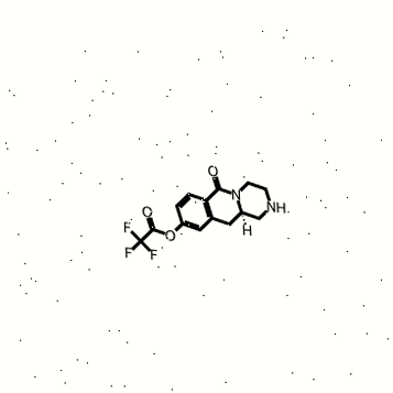 O=C1c2ccc(OC(=O)C(F)(F)F)cc2C[C@@H]2CNCCN12